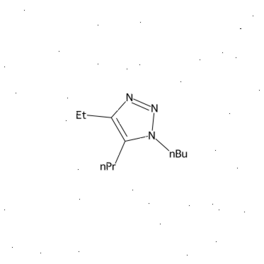 CCCCn1nnc(CC)c1CCC